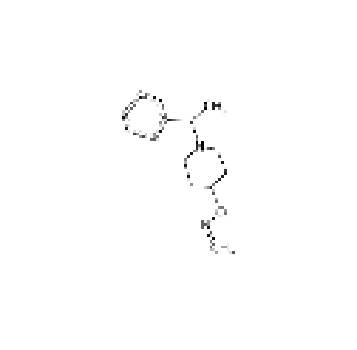 C=NOC1CCN(C(C)c2ccccc2)CC1